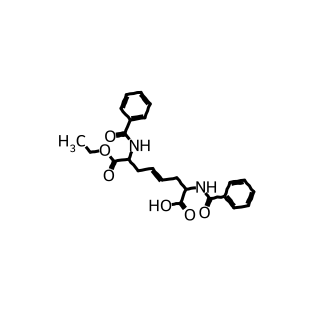 CCOC(=O)C(CC=CCC(NC(=O)c1ccccc1)C(=O)O)NC(=O)c1ccccc1